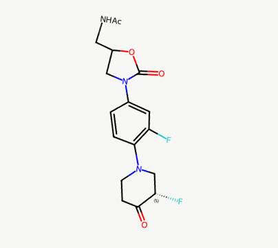 CC(=O)NCC1CN(c2ccc(N3CCC(=O)[C@@H](F)C3)c(F)c2)C(=O)O1